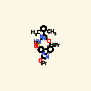 Cc1cccc(C)c1-c1cc2nc(n1)NS(=O)(=O)c1cccc(c1)C1[C@H](CO2)C(C(C)C)CC[C@@H]1c1ncc(OC(C)C)cn1